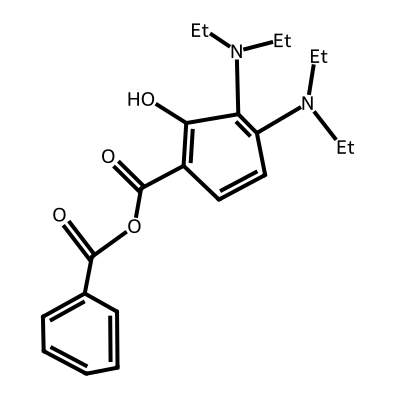 CCN(CC)c1ccc(C(=O)OC(=O)c2ccccc2)c(O)c1N(CC)CC